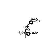 COc1ccc2[nH]c(C)c(CC(=O)NN=Cc3ccc(OC)c(OC)c3)c2c1